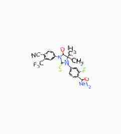 CC1(C)C(=O)N(c2ccc(C#N)c(C(F)(F)F)c2)C(=S)N1c1ccc(C(N)=O)c(F)c1